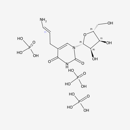 N/C=C/Cc1cn([C@@H]2O[C@H](CO)[C@@H](O)[C@H]2O)c(=O)[nH]c1=O.O=P(O)(O)O.O=P(O)(O)O.O=P(O)(O)O